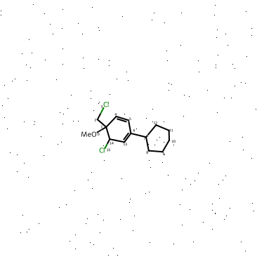 COC1(CCl)C=CC(C2CCCCC2)=CC1Cl